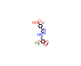 CSc1cc(-c2cc(NCCc3cc4c(cc3OC(F)F)OCCO4)ncn2)ccc1C(=O)O